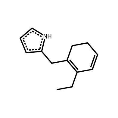 CCC1=C(Cc2ccc[nH]2)CCC=C1